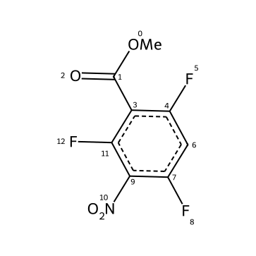 COC(=O)c1c(F)cc(F)c([N+](=O)[O-])c1F